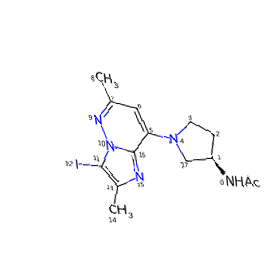 CC(=O)N[C@@H]1CCN(c2cc(C)nn3c(I)c(C)nc23)C1